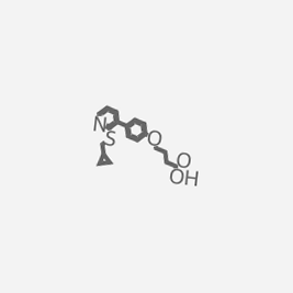 O=C(O)CCCOc1ccc(-c2cccnc2SCC2CC2)cc1